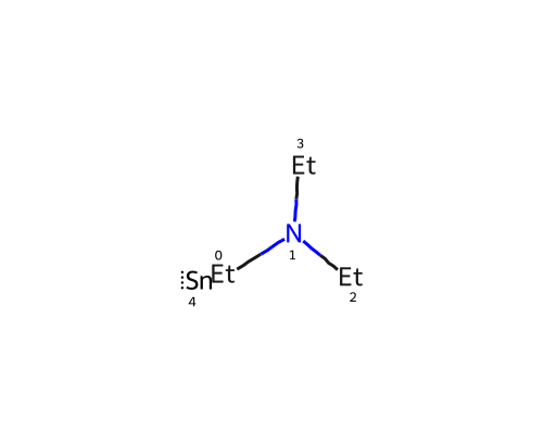 CCN(CC)CC.[Sn]